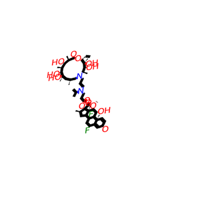 CC[C@H]1OC(=O)[C@H](C)[C@@H](O)[C@H](C)[C@@H](O)[C@](C)(O)C[C@@H](C)CN(CCCN(CCC(=O)O[C@]2(C(=O)OC)[C@H](C)CC3C4C[C@H](F)C5=CC(=O)C=C[C@]5(C)[C@@]4(F)[C@@H](O)C[C@@]32C)C(C)C)[C@H](C)[C@@H](O)[C@]1(C)O